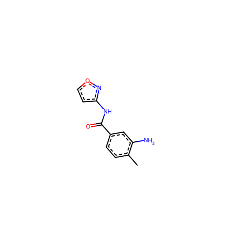 Cc1ccc(C(=O)Nc2ccon2)cc1N